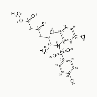 COC(=O)CC(=S)CC[C@@H](C)N(c1cc(Cl)ccc1Cl)S(=O)(=O)c1ccc(Cl)cc1